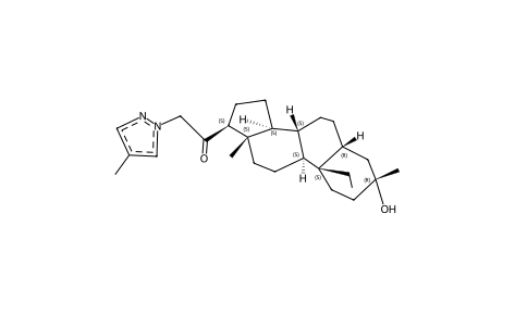 CC[C@]12CC[C@@](C)(O)C[C@H]1CC[C@H]1[C@@H]3CC[C@H](C(=O)Cn4cc(C)cn4)[C@@]3(C)CC[C@@H]12